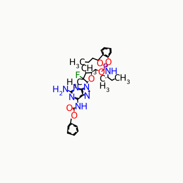 CCCCc1ccccc1OP(=O)(N[C@@H](C)CC)OC[C@H]1O[C@@H](n2cnc3c(NC(=O)OCc4ccccc4)nc(N)nc32)C(C)(F)[C@H]1C